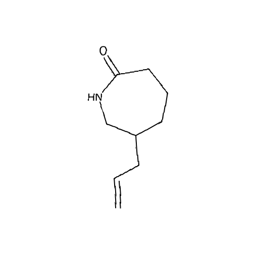 C=CCC1CCCC(=O)NC1